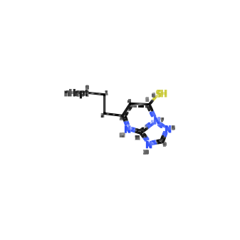 CCCCCCCCCc1cc(S)n2ncnc2n1